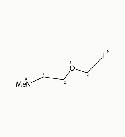 CNCCOCI